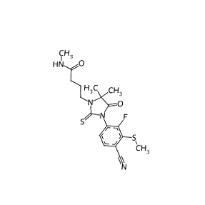 CNC(=O)CCCN1C(=S)N(c2ccc(C#N)c(SC)c2F)C(=O)C1(C)C